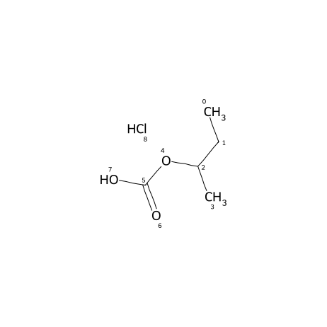 CCC(C)OC(=O)O.Cl